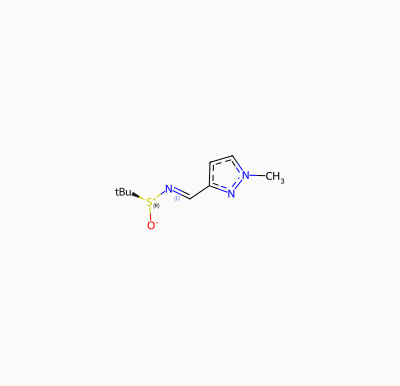 Cn1ccc(/C=N/[S@@+]([O-])C(C)(C)C)n1